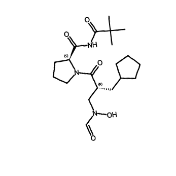 CC(C)(C)C(=O)NC(=O)[C@@H]1CCCN1C(=O)[C@H](CC1CCCC1)CN(O)C=O